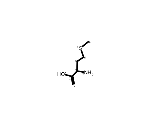 C=C(O)C(N)CCSC